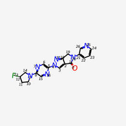 O=C1c2cn(-c3cnc(N4CC[C@@H](F)C4)cn3)nc2CN1c1cccnc1